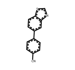 N#Cc1ccc(-c2ccc3scnc3c2)cc1